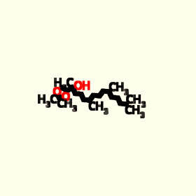 CC(C)CCCC(C)CCCC(C)CCCC(C)(O)C1COC(C)(C)O1